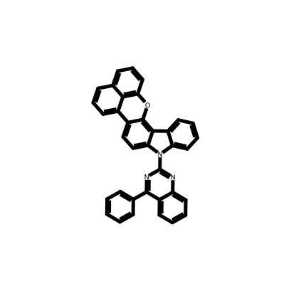 c1ccc(-c2nc(-n3c4ccccc4c4c5c(ccc43)-c3cccc4cccc(c34)O5)nc3ccccc23)cc1